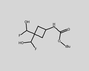 CC(C)(C)OC(=O)NC1CC(C(O)F)(C(O)F)C1